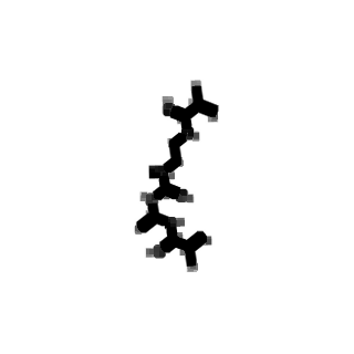 C=C(OC(=O)NCCOC(=O)C(=C)C)OC(=O)C(=C)C